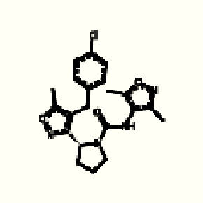 Cc1noc(C)c1NC(=O)N1CCC[C@@H]1c1noc(C)c1Cc1ccc(Cl)cc1